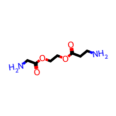 NCCC(=O)OCCOC(=O)CN